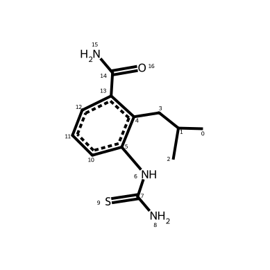 CC(C)Cc1c(NC(N)=S)cccc1C(N)=O